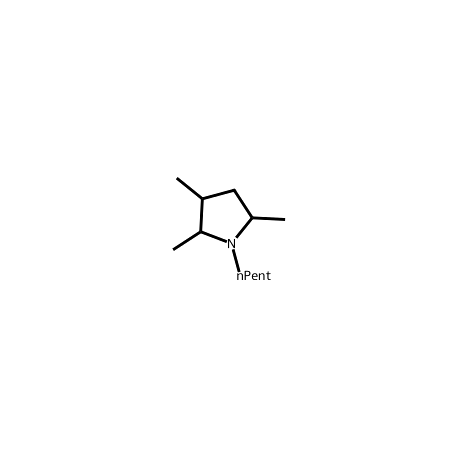 CCCCCN1C(C)CC(C)C1C